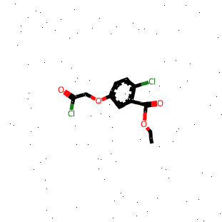 CCOC(=O)c1cc(OCC(=O)Cl)ccc1Cl